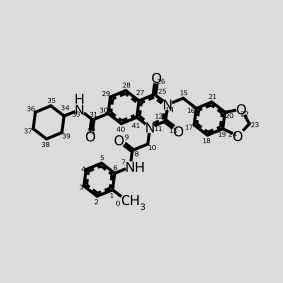 Cc1ccccc1NC(=O)Cn1c(=O)n(Cc2ccc3c(c2)OCO3)c(=O)c2ccc(C(=O)NC3CCCCC3)cc21